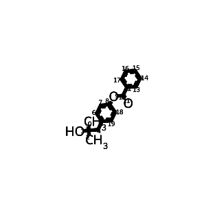 CC(C)(O)Cc1ccc(OC(=O)c2ccccc2)cc1